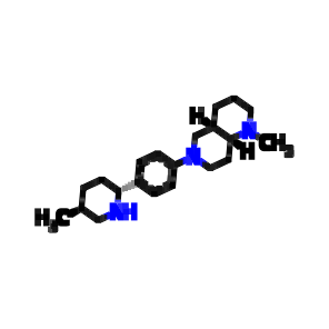 C[C@H]1CC[C@H](c2ccc(N3CC[C@@H]4[C@@H](CCCN4C)C3)cc2)NC1